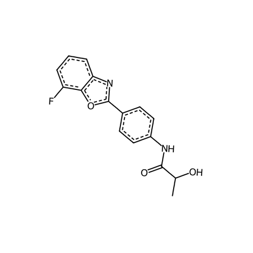 CC(O)C(=O)Nc1ccc(-c2nc3cccc(F)c3o2)cc1